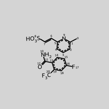 Cc1cccc(/C=C/S(=O)(=O)O)n1.NC(=O)c1ccc(F)cc1C(F)(F)F